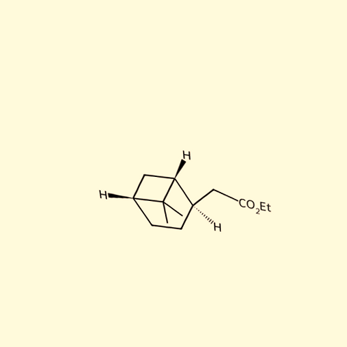 CCOC(=O)C[C@H]1CC[C@@H]2C[C@H]1C2(C)C